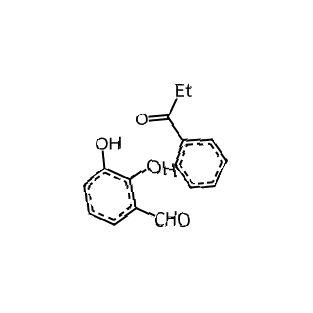 CCC(=O)c1ccccc1.O=Cc1cccc(O)c1O